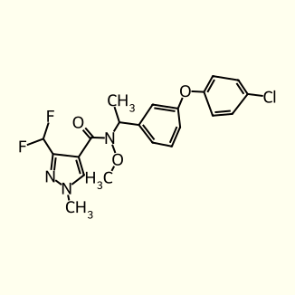 CON(C(=O)c1cn(C)nc1C(F)F)C(C)c1cccc(Oc2ccc(Cl)cc2)c1